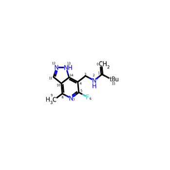 C=C(NCc1c(F)nc(C)c2cn[nH]c12)C(C)(C)C